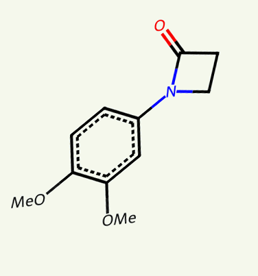 COc1ccc(N2CCC2=O)cc1OC